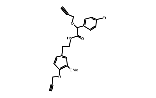 C#CCOc1ccc(CCNC(=O)C(OCC#C)c2ccc(CC)cc2)cc1OC